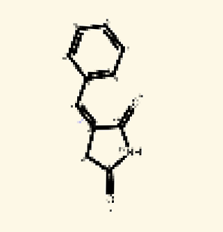 O=C1C/C(=C/c2ccccc2)C(=O)N1